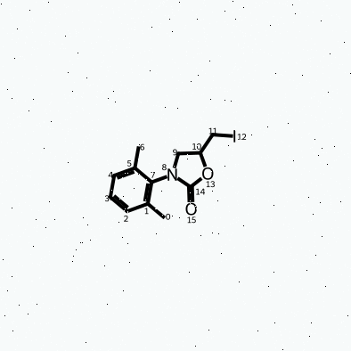 Cc1cccc(C)c1N1CC(CI)OC1=O